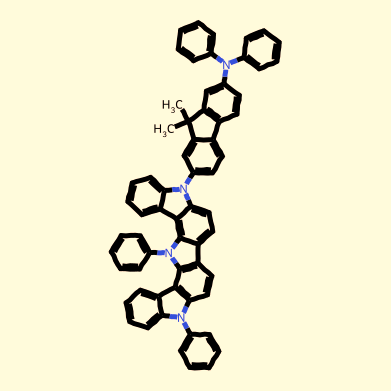 CC1(C)c2cc(N(c3ccccc3)c3ccccc3)ccc2-c2ccc(-n3c4ccccc4c4c3ccc3c5ccc6c(c7ccccc7n6-c6ccccc6)c5n(-c5ccccc5)c34)cc21